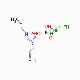 C=CCn1cc[n+](CC=C)c1.F.F.F.F.[O-]B(O)O